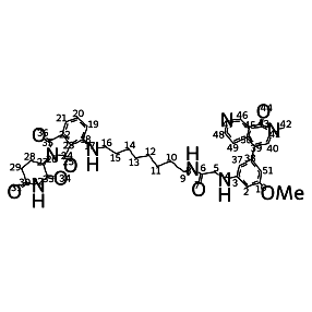 COc1cc(NCC(=O)NCCCCCCCCNc2cccc3c2C(=O)N(C2CCC(=O)NC2=O)C3=O)cc(-c2cn(C)c(=O)c3cnccc23)c1